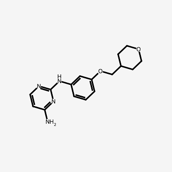 Nc1ccnc(Nc2cccc(OCC3CCOCC3)c2)n1